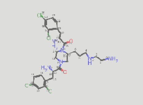 NCCNCCC[C@H]1CN(C(=O)[C@H](N)Cc2ccc(Cl)cc2Cl)CCN1C(=O)[C@H](N)Cc1ccc(Cl)cc1Cl